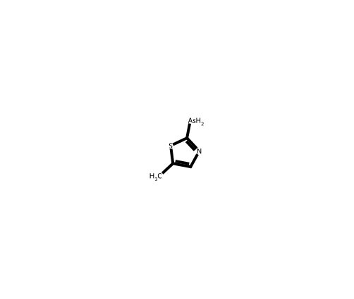 Cc1cnc([AsH2])s1